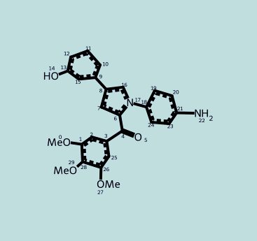 COc1cc(C(=O)c2cc(-c3cccc(O)c3)cn2-c2ccc(N)cc2)cc(OC)c1OC